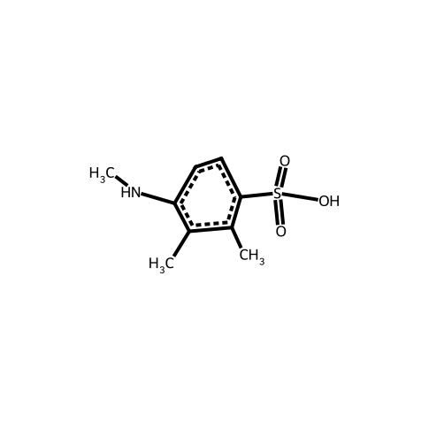 CNc1ccc(S(=O)(=O)O)c(C)c1C